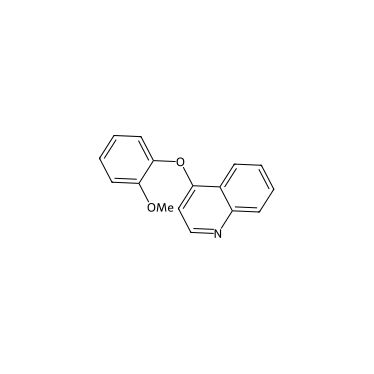 COc1ccccc1Oc1ccnc2ccccc12